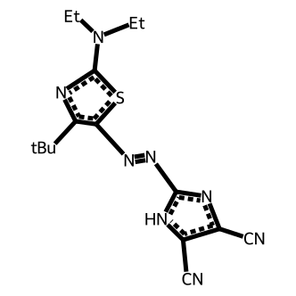 CCN(CC)c1nc(C(C)(C)C)c(/N=N/c2nc(C#N)c(C#N)[nH]2)s1